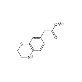 COC(=O)Cc1ccc2c(c1)SCCN2